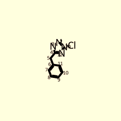 Cln1nnc(Cc2ccccc2)n1